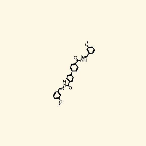 COc1cccc(/C=N/NC(=O)c2ccc(-c3ccc(C(=O)N/N=C/c4cccc(OC)c4)cc3)cc2)c1